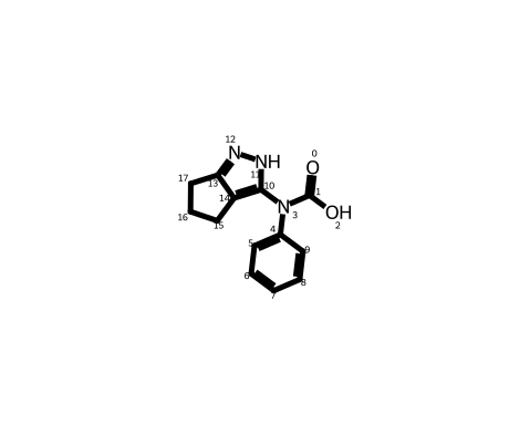 O=C(O)N(c1ccccc1)c1[nH]nc2c1CCC2